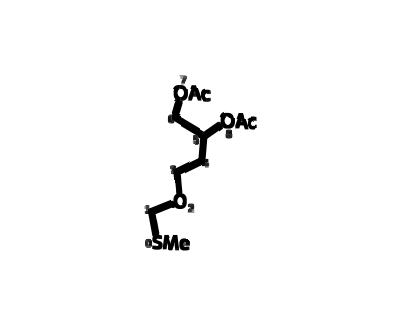 CSCOCCC(COC(C)=O)OC(C)=O